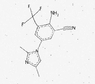 Cc1cn(-c2cc(C#N)c(N)c(C(F)(F)F)c2)c(C)n1